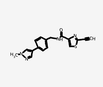 C#Cc1nc(C(=O)NCc2ccc(-c3cnn(C)c3)cc2)cs1